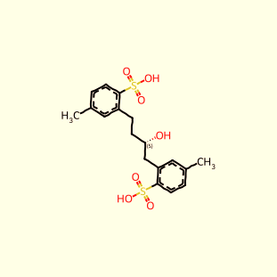 Cc1ccc(S(=O)(=O)O)c(CC[C@H](O)Cc2cc(C)ccc2S(=O)(=O)O)c1